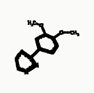 COc1ccc(-c2cccnn2)cc1OC